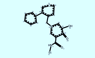 CCNC(=O)c1cn(Cc2ccccc2-c2ccccc2)cc(O)c1=O